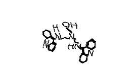 OCCN(CCCNc1c2c(nc3ccccc13)CCCC2)CCCNc1c2c(nc3ccccc13)CCCC2